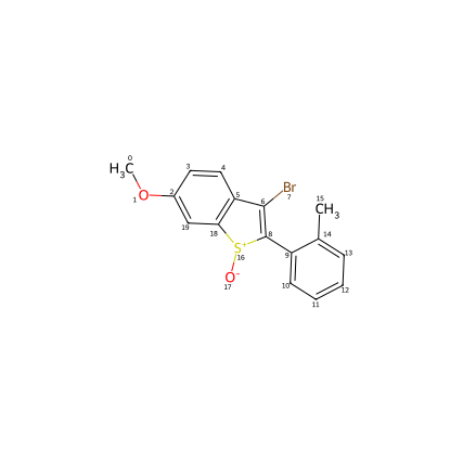 COc1ccc2c(Br)c(-c3ccccc3C)[s+]([O-])c2c1